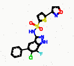 O=S(=O)(Nc1n[nH]c2c(F)c(Cl)c(-c3ccccc3)cc12)c1ccc(-c2ccon2)s1